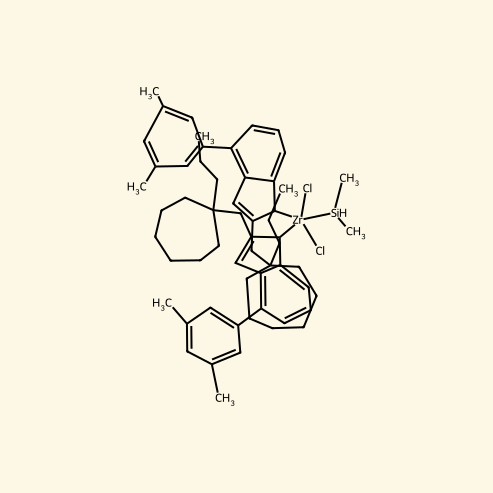 CCCC1(CC2=Cc3c(-c4cc(C)cc(C)c4)cccc3[CH]2[Zr]([Cl])([Cl])([CH]2C(CC3(CCC)CCCCCC3)=Cc3c(-c4cc(C)cc(C)c4)cccc32)[SiH](C)C)CCCCCC1